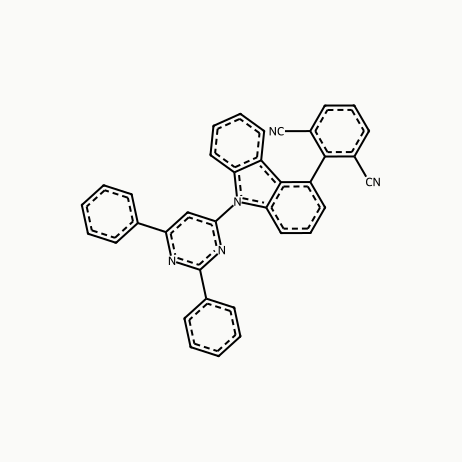 N#Cc1cccc(C#N)c1-c1cccc2c1c1ccccc1n2-c1cc(-c2ccccc2)nc(-c2ccccc2)n1